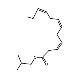 CC/C=C\C/C=C\C/C=C\CC(=O)OCC(C)C